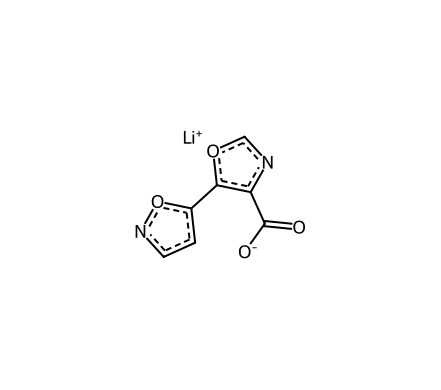 O=C([O-])c1ncoc1-c1ccno1.[Li+]